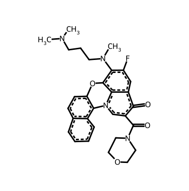 CN(C)CCCN(C)c1c(F)cc2c(=O)c(C(=O)N3CCOCC3)cn3c2c1Oc1ccc2ccccc2c1-3